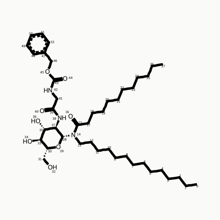 CCCCCCCCCCCCCCN(C(=O)CCCCCCCCCCC)[C@@H]1O[C@H](CO)[C@@H](O)[C@H](O)[C@H]1NC(=O)CNC(=O)OCc1ccccc1